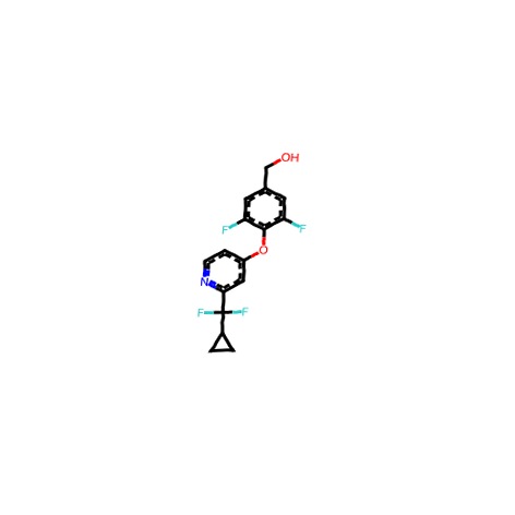 OCc1cc(F)c(Oc2ccnc(C(F)(F)C3CC3)c2)c(F)c1